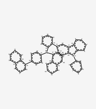 c1ccc(-n2c3ccccc3c3cc(-c4ccccc4N(c4ccc(-c5cccc6ccccc56)cc4)c4cccc5ccccc45)ccc32)cc1